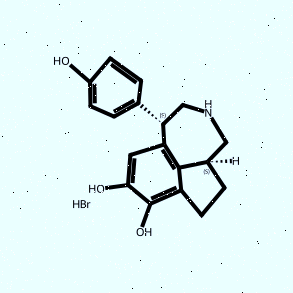 Br.Oc1ccc([C@@H]2CNC[C@H]3CCc4c(O)c(O)cc2c43)cc1